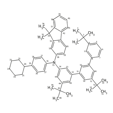 CC(C)(C)c1cccc(-c2cc(-c3cc(N(c4ccc(C5CCCCC5)cc4)c4ccc5c(c4)C(C)(C)c4ccccc4-5)cc(C(C)(C)C)c3)cc(C(C)(C)C)c2)c1